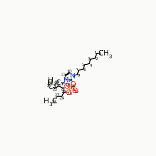 CCCCCCCCCN1C=CN(CC)C1OP(=O)(OCCCC)OCCCC